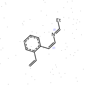 C=Cc1ccccc1/C=C\N=C\CC